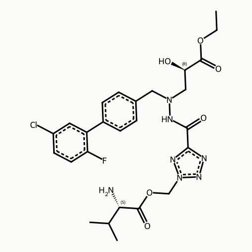 CCOC(=O)[C@H](O)CN(Cc1ccc(-c2cc(Cl)ccc2F)cc1)NC(=O)c1nnn(COC(=O)[C@@H](N)C(C)C)n1